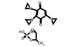 CC(CCl)OP(=O)(O)O.O=C1C=C(N2CC2)C(=O)C(N2CC2)=C1N1CC1